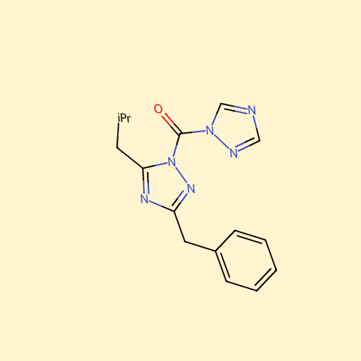 CC(C)Cc1nc(Cc2ccccc2)nn1C(=O)n1cncn1